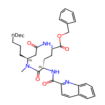 CCCCCCCCCCCCC[C@@H](CC(N)=O)N(C)C(=O)[C@H](CCCC(=O)OCc1ccccc1)NC(=O)c1ccc2ccccc2n1